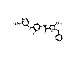 Cc1cc(C(=O)Nc2ccc(Oc3ccnc(N)c3)c(F)c2)nn1Cc1ccccc1